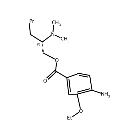 CCOc1cc(C(=O)OC[C@H](CC(C)C)N(C)C)ccc1N